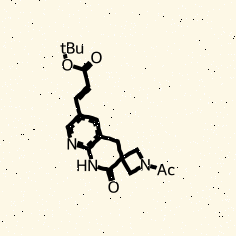 CC(=O)N1CC2(Cc3cc(C=CC(=O)OC(C)(C)C)cnc3NC2=O)C1